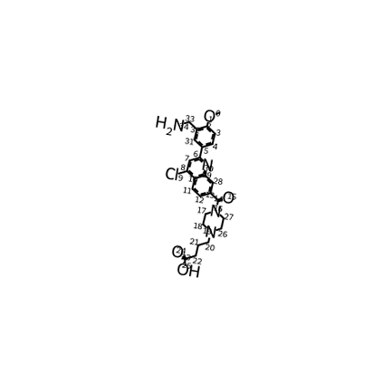 COc1ccc(-c2cc(Cl)c3ccc(C(=O)N4CCN(CCCC(=O)O)CC4)cc3n2)cc1CN